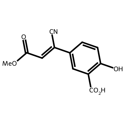 COC(=O)C=C(C#N)c1ccc(O)c(C(=O)O)c1